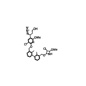 COc1nc(OCc2cccc(-c3cccc(COC4NC(OC)[C@@H]4Cl)c3C)c2C)c(Cl)cc1C(CCO)N=[N+]=[N-]